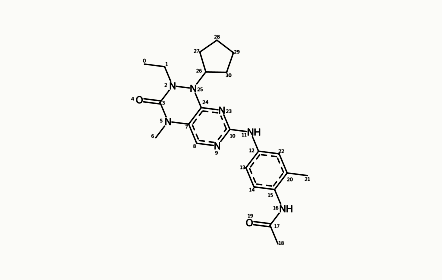 CCN1C(=O)N(C)c2cnc(Nc3ccc(NC(C)=O)c(C)c3)nc2N1C1CCCC1